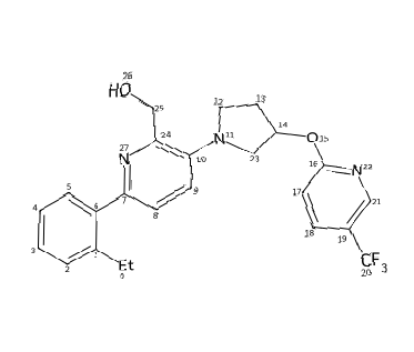 CCc1ccccc1-c1ccc(N2CCC(Oc3ccc(C(F)(F)F)cn3)C2)c(CO)n1